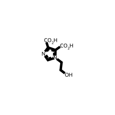 O=C(O)c1ncn(CCO)c1C(=O)O